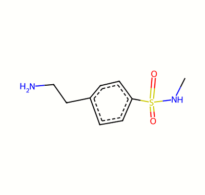 CNS(=O)(=O)c1ccc(CCN)cc1